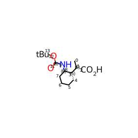 C[C@H](C(=O)O)[C@@H]1CCCC[C@H]1NC(=O)OC(C)(C)C